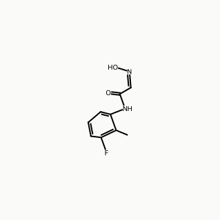 Cc1c(F)cccc1NC(=O)/C=N\O